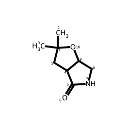 CC1(C)CC2C(=O)NCC2O1